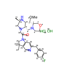 COC[C@@H]1COCCN1C[C@H]1CN[C@H](C)CN1CC(=O)N1CC(C)(C)c2cnc(Cc3ccc(F)cc3)cc21.Cl.Cl